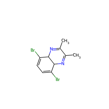 CC1=NC2C(Br)=CC=C(Br)C2N=C1C